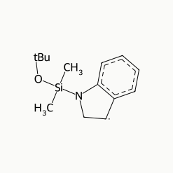 CC(C)(C)O[Si](C)(C)N1C[CH]c2ccccc21